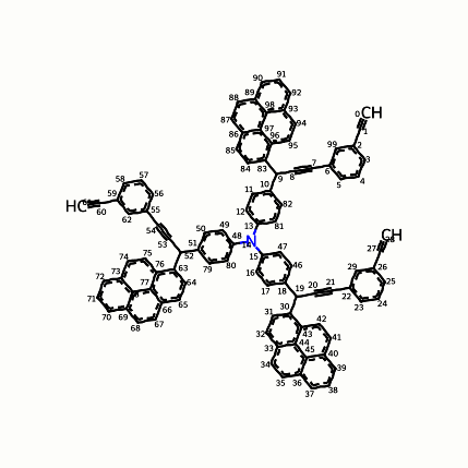 C#Cc1cccc(C#CC(c2ccc(N(c3ccc(C(C#Cc4cccc(C#C)c4)c4ccc5ccc6cccc7ccc4c5c67)cc3)c3ccc(C(C#Cc4cccc(C#C)c4)c4ccc5ccc6cccc7ccc4c5c67)cc3)cc2)c2ccc3ccc4cccc5ccc2c3c45)c1